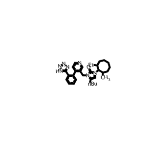 CCCCc1cn(C2C(C)CCCCCC2CC)c(=O)n1Cc1cnccc1-c1ccccc1-c1nnn[nH]1